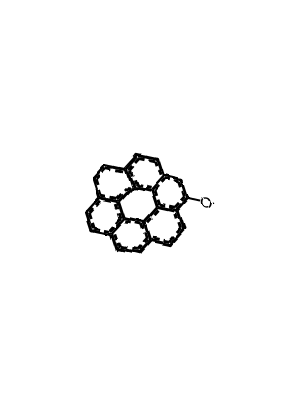 [O]c1cc2ccc3ccc4ccc5ccc6ccc1c1c6c5c4c3c21